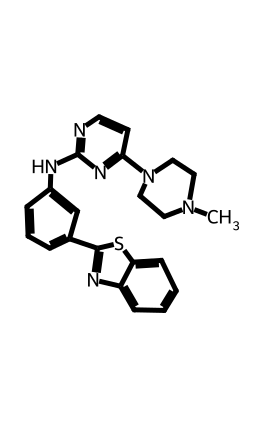 CN1CCN(c2ccnc(Nc3cccc(-c4nc5ccccc5s4)c3)n2)CC1